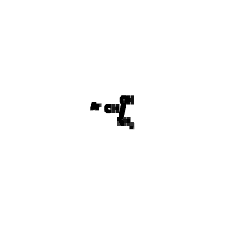 Cl.NO.[Ar]